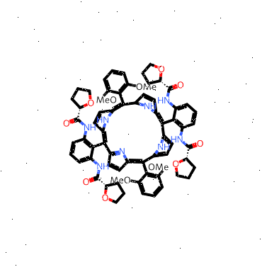 COc1cccc(OC)c1/C1=C2\C=CC(=N2)/C(c2c(NC(=O)[C@@H]3CCCO3)cccc2NC(=O)[C@@H]2CCCO2)=c2/cc/c([nH]2)=C(\c2c(OC)cccc2OC)C2C=C/C(=C(\c3c(NC(=O)[C@@H]4CCCO4)cccc3NC(=O)[C@@H]3CCCO3)c3ccc1[nH]3)N2